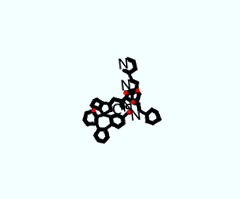 c1ccc(-c2cc(-c3ccc(-c4cccnc4)nc3)nc(-c3ccc4c(c3)C3(c5ccccc5-c5ccccc5-4)c4ccccc4-c4cc5c(cc43)sc3ccccc35)n2)cc1